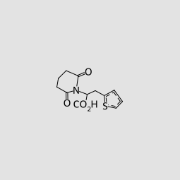 O=C(O)C(Cc1cccs1)N1C(=O)CCCC1=O